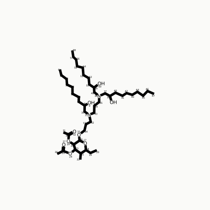 CCCCCCCCC(O)CN(CCCOC1OC(CC)C(C)C(OC(C)=O)C1OC(C)=O)CCCN(CC(O)CCCCCCCC)CC(O)CCCCCCCC